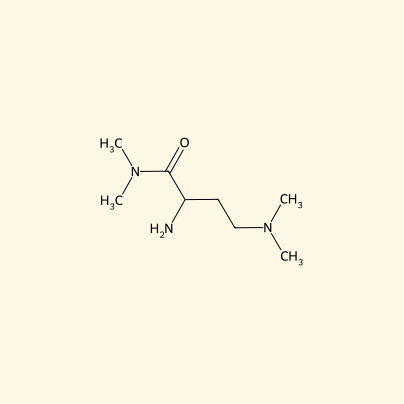 CN(C)CCC(N)C(=O)N(C)C